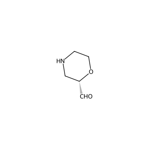 O=C[C@@H]1CNCCO1